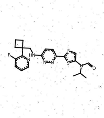 CC(C)N(C=O)c1cnc(-c2ccc(NCC3(c4ncccc4F)CCC3)nn2)s1